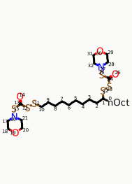 CCCCCCCCC(CCCCCCCCCSSC(=O)SN1CCOCC1)SSC(=O)SN1CCOCC1